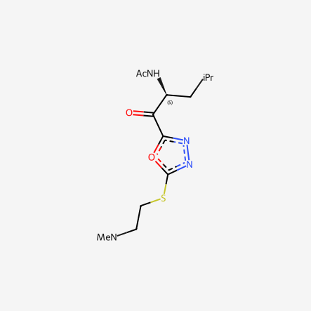 CNCCSc1nnc(C(=O)[C@H](CC(C)C)NC(C)=O)o1